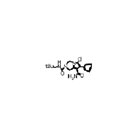 CC(C)(C)CNC(=O)N1CCn2c(Cl)c(-c3ccccc3)c(C(N)=O)c2C1